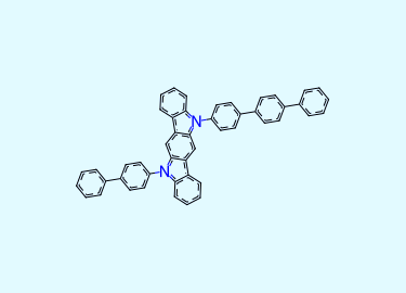 c1ccc(-c2ccc(-c3ccc(-n4c5ccccc5c5cc6c(cc54)c4ccccc4n6-c4ccc(-c5ccccc5)cc4)cc3)cc2)cc1